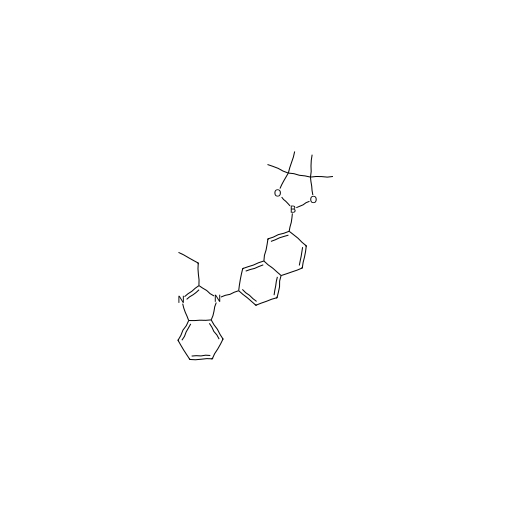 CCc1nc2ccccc2n1-c1ccc2ccc(B3OC(C)(C)C(C)(C)O3)cc2c1